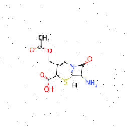 CC(=O)OCC1=CN2C(=O)C(N)[C@H]2SC1C(=O)O